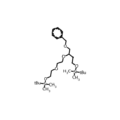 CC(C)(C)[Si](C)(C)OCCOCCOC(CCO[Si](C)(C)C(C)(C)C)COCc1ccccc1